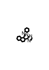 c1ccc2c(c1)ccc1c3nccnc3n3c4ccccc4nc3c21